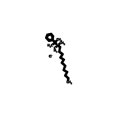 CCCCCCCCCCCC[N+](C)(C)C(C)(C)c1ccccc1.[Cl-]